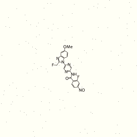 COc1ccc2c(c1)nc(CF)n2-c1cnc(NC(=O)c2ccc(N=O)cc2F)cn1